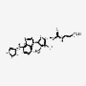 O=C(O)CCNC(=O)OC[C@H]1O[C@@H](n2cnc3c(N[C@@H]4CCOC4)ncnc32)[C@H](O)[C@@H]1O